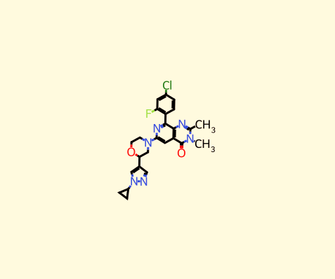 Cc1nc2c(-c3ccc(Cl)cc3F)nc(N3CCOC(c4cnn(C5CC5)c4)C3)cc2c(=O)n1C